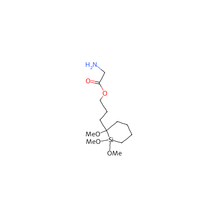 COC1(CCCOC(=O)CN)CCCC[Si]1(OC)OC